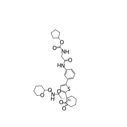 O=C(C[C@]1(c2ccc(-c3cccc(NC(=O)CNC(=O)OC4CCCC4)c3)s2)CCCCS1(=O)=O)NOC1CCCCO1